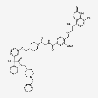 COc1cc(C(=O)NCC(=O)N2CCC(COc3cccc(C(O)(C(=O)OCC4CCN(Cc5ccccc5)CC4)c4ccccc4)c3)CC2)ccc1CNC[C@H](O)c1ccc(O)c2[nH]c(=O)ccc12